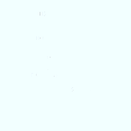 O=C(OC(CSc1ccccc1)c1cccc(C(O)CS)c1)C(F)(F)F